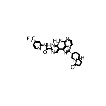 Nc1nccn2c([C@@H]3CC[C@H]4CCC(=O)N4C3)nc(-c3cnc(C(=O)Nc4cc(C(F)(F)F)ccn4)nc3)c12